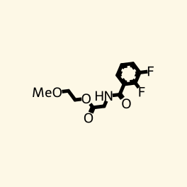 COCCOC(=O)CNC(=O)c1cccc(F)c1F